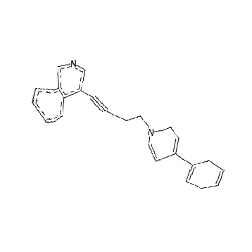 C(#Cc1cncc2ccccc12)CCN1C=CC(C2=CCC=CC2)=CC1